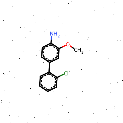 COc1cc(-c2ccccc2Cl)ccc1N